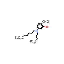 CCOC(=O)CCCCCN(CCCS(=O)(=O)O)c1ccc(C=O)c(O)c1